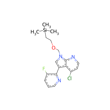 C[Si](C)(C)CCOCn1cc(-c2ncccc2F)c2c(Cl)ccnc21